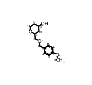 COc1ccc(COCC2CC(O)CCO2)cc1